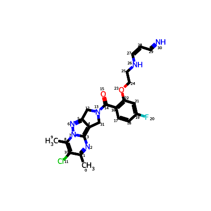 Cc1nc2c3c(nn2c(C)c1Cl)CN(C(=O)c1ccc(F)cc1OCCN/C=C\C=N)C3